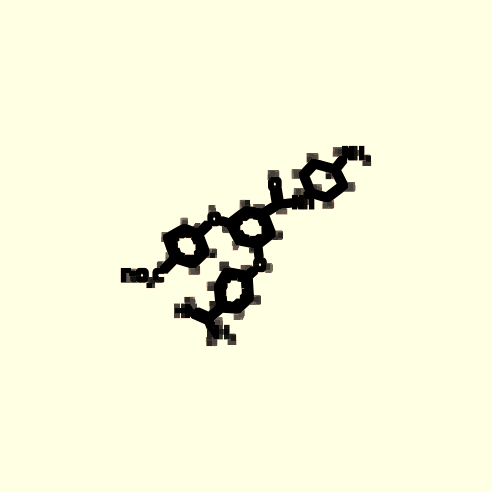 CCOC(=O)c1ccc(Oc2cc(Oc3ccc(C(=N)N)cc3)cc(C(=O)NC3CCC(N)CC3)c2)cc1